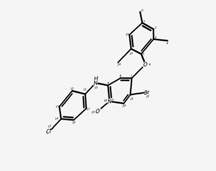 Cc1cc(C)c(Oc2cc(Nc3ccc(Cl)cc3)[n+]([O-])cc2Br)c(C)c1